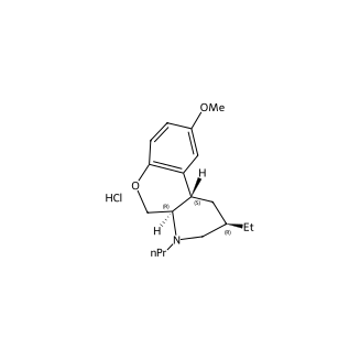 CCCN1C[C@H](CC)C[C@H]2c3cc(OC)ccc3OC[C@@H]21.Cl